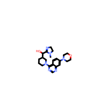 CN1CCN=C1C(O)C1CCCN(c2ncnc3cc(N4CCOCC4)ccc23)C1